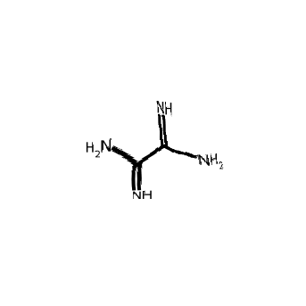 N=C(N)C(=N)N